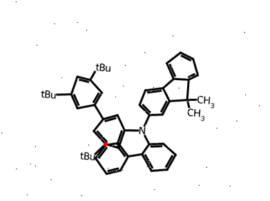 CC(C)(C)c1cc(-c2cc(C(C)(C)C)cc(C(C)(C)C)c2)cc(N(c2ccc3c(c2)C(C)(C)c2ccccc2-3)c2ccccc2-c2ccccc2)c1